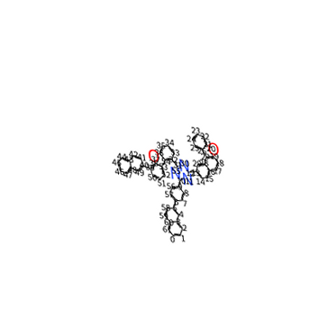 c1ccc2cc(-c3ccc(-c4nc(-c5ccc6ccc7oc8ccccc8c7c6c5)nc(-c5cccc6oc7c(-c8ccc9ccccc9c8)cccc7c56)n4)cc3)ccc2c1